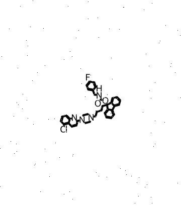 O=C(NCc1ccc(F)cc1)OC1(CCCCN2CCN(c3ccc4c(Cl)cccc4n3)CC2)c2ccccc2-c2ccccc21